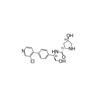 O=C(N[C@@H](CO)c1ccc(-c2ccncc2Cl)cc1)[C@@H]1C[C@@H](O)CN1